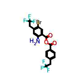 Nc1cc(CC(F)(F)F)c(Br)cc1C(=O)OC(=O)c1ccc(CC(F)(F)F)cc1